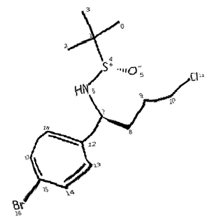 CC(C)(C)[S@+]([O-])N[C@@H](CCCCl)c1ccc(Br)cc1